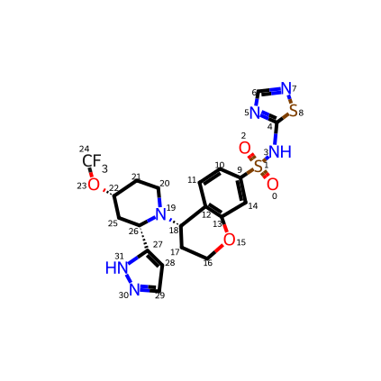 O=S(=O)(Nc1ncns1)c1ccc2c(c1)OCC[C@@H]2N1CC[C@@H](OC(F)(F)F)C[C@H]1c1ccn[nH]1